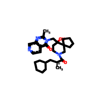 Cc1nc2cnccc2c(=O)n1CC1(O)CCN(C(=O)[C@H](C)CC2CCCCC2)CC12CCCC2